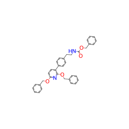 O=C(NCCc1ccc(-c2ccc(OCc3ccccc3)nc2OCc2ccccc2)cc1)OCc1ccccc1